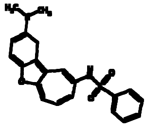 CN(C)C1=CC=c2oc3c(c2C1)C=C(NS(=O)(=O)c1ccccc1)C=CC=3